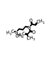 C=CC(=O)N(CCCN(C)C)C(=O)C(=C)C